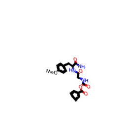 COc1ccc(CC(NC(=O)CNC(=O)OC(=O)c2ccccc2)C([NH])=O)cc1